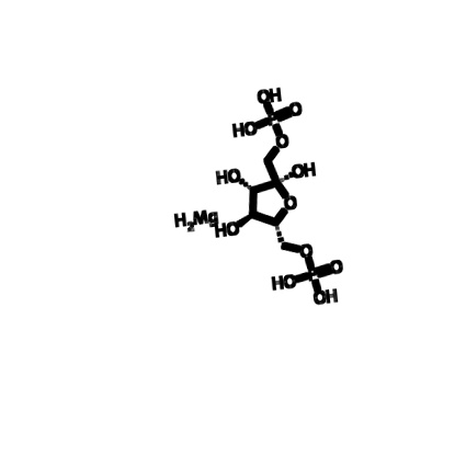 O=P(O)(O)OC[C@H]1O[C@](O)(COP(=O)(O)O)[C@@H](O)[C@@H]1O.[MgH2]